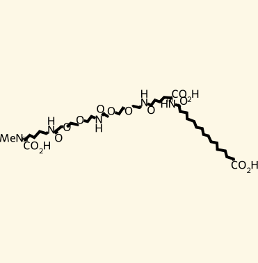 CN[C@@H](CCCCNC(=O)COCCOCCNC(=O)COCCOCCNC(=O)CCC[C@H](NC(=O)CCCCCCCCCCCCCCC(=O)O)C(=O)O)C(=O)O